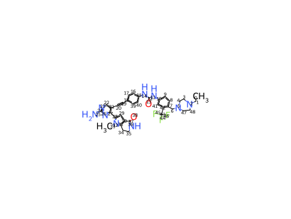 CCN1CCN(Cc2ccc(NC(=O)Nc3ccc(C#Cc4cnc(N)nc4-c4cc5c(n4C)CCNC5=O)cc3)cc2C(F)(F)F)CC1